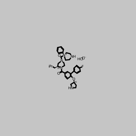 CC(C)C[C@H]1CN(C(=O)[N+]2(c3ccccc3)CCNCC2)CCN1C(=O)c1ccc(O[C@H]2CCNC2)c(-c2ccc(F)cc2)c1.Cl.[Cl-]